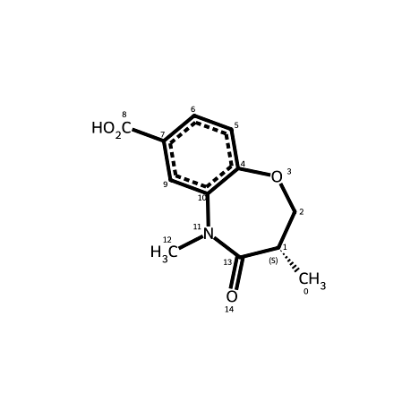 C[C@H]1COc2ccc(C(=O)O)cc2N(C)C1=O